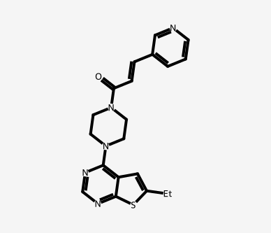 CCc1cc2c(N3CCN(C(=O)C=Cc4cccnc4)CC3)ncnc2s1